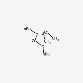 CC(C)=O.CC(C)=O.CCCC[O][Zr][O]CCCC